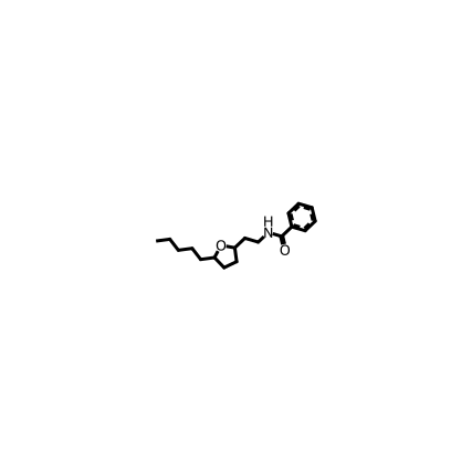 CCCCCC1CCC(CCNC(=O)c2ccccc2)O1